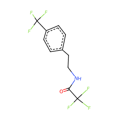 O=C(NCCc1ccc(C(F)(F)F)cc1)C(F)(F)F